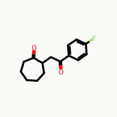 O=C(CC1CCCCCC1=O)c1ccc(F)cc1